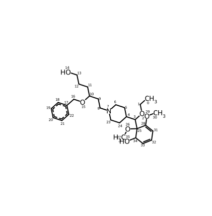 CCOC(C1CCN(CCC(CCCO)OCc2ccccc2)CC1)C1(OC)C(OC)=CC=CC1O